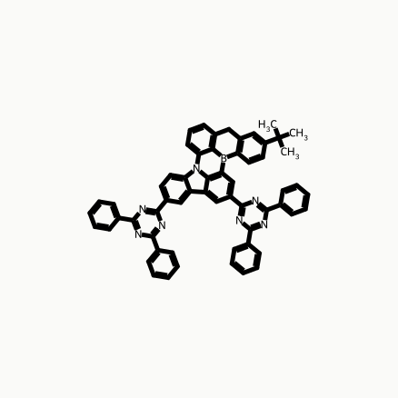 CC(C)(C)c1ccc2c(c1)Cc1cccc3c1B2c1cc(-c2nc(-c4ccccc4)nc(-c4ccccc4)n2)cc2c4cc(-c5nc(-c6ccccc6)nc(-c6ccccc6)n5)ccc4n-3c12